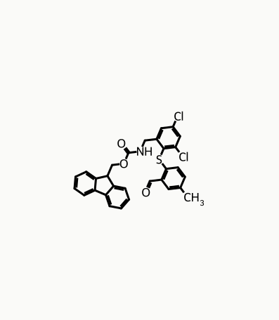 Cc1ccc(Sc2c(Cl)cc(Cl)cc2CNC(=O)OCC2c3ccccc3-c3ccccc32)c(C=O)c1